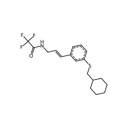 O=C(NC/C=C/c1cccc(SCC2CCCCC2)c1)C(F)(F)F